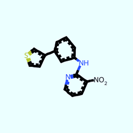 O=[N+]([O-])c1cccnc1Nc1cccc(-c2ccsc2)c1